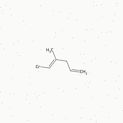 C=CCC(C)=[CH][Cr]